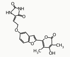 Cc1c(-c2cc3cc(OC/C=C4/NC(=O)NC4=O)ccc3o2)oc(=O)c(C)c1O